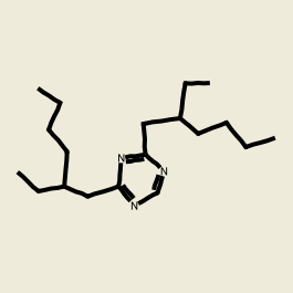 CCCCC(CC)Cc1ncnc(CC(CC)CCCC)n1